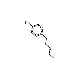 CCSCCc1ccc(Cl)cc1